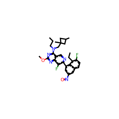 CCCN(CC1(C)CC(C)C1)c1nc(OC)nc2c(F)c(-c3cc(N=O)cc4ccc(F)c(CC)c34)ncc12